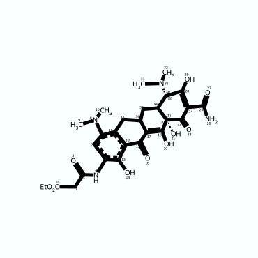 CCOC(=O)CC(=O)Nc1cc(N(C)C)c2c(c1O)C(=O)C1=C(O)[C@]3(O)C(=O)C(C(N)=O)=C(O)[C@@H](N(C)C)C3CC1C2